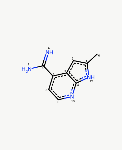 Cc1cc2c(C(=N)N)ccnc2[nH]1